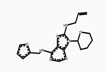 C=CCNc1nc2c(NCc3ccco3)ncnc2n1C1CCCCO1